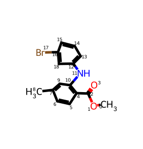 COC(=O)c1ccc(C)cc1Nc1cccc(Br)c1